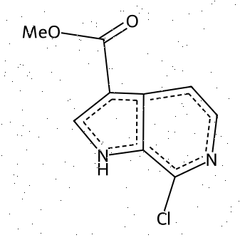 COC(=O)c1c[nH]c2c(Cl)nccc12